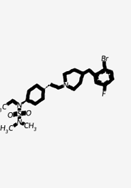 CCN([C@H]1CC[C@H](CCN2CCC(Cc3cc(F)ccc3Br)CC2)CC1)S(=O)(=O)N(C)C